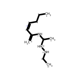 C=C(/C=C\CCC)NC(C)NNCC